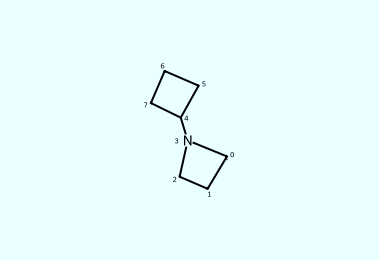 [CH]1CCN1C1CCC1